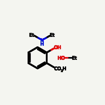 CCNCC.CCO.O=C(O)c1ccccc1O